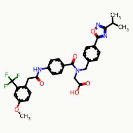 COc1ccc(CC(=O)Nc2ccc(C(=O)N(CC(=O)O)Cc3ccc(-c4nc(C(C)C)no4)cc3)cc2)c(C(F)(F)F)c1